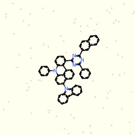 c1ccc(-c2nc(-c3ccc4ccccc4c3)nc(-c3cccc4c3-c3cccc5c(-n6c7ccccc7c7ccccc76)ccc(c35)N4c3ccccc3)n2)cc1